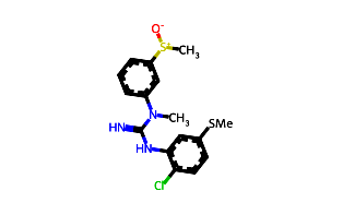 CSc1ccc(Cl)c(NC(=N)N(C)c2cccc([S+](C)[O-])c2)c1